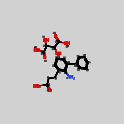 Nc1c(CCC(=O)O)cccc1-c1ccccc1.O=C(O)C(O)C(O)C(=O)O